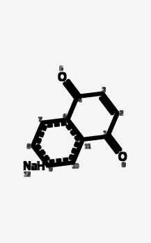 O=C1C=CC(=O)c2ccccc21.[NaH]